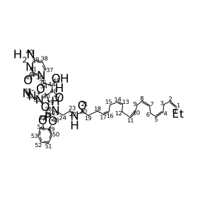 CC/C=C\C/C=C\C/C=C\C/C=C\C/C=C\C/C=C\CCC(=O)NCCNP(=O)(OC[C@@]1(N=[N+]=[N-])O[C@@H](n2ccc(N)nc2=O)[C@H](O)[C@@H]1O)Oc1ccccc1